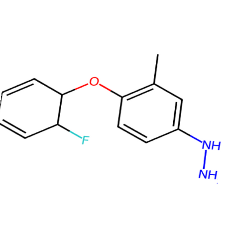 Cc1cc(NN)ccc1OC1C=CC=CC1F